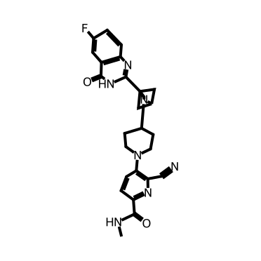 CNC(=O)c1ccc(N2CCC(N3CC4(c5nc6ccc(F)cc6c(=O)[nH]5)CC3C4)CC2)c(C#N)n1